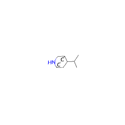 CC(C)C1CC2CCC1CN2